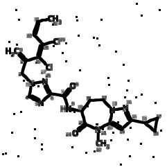 C=C(Cn1cnc(C(=O)N[C@H]2CCn3nc(C4CC4)cc3N(C)C2=O)n1)/C(Cl)=C(Cl)\C=C/C